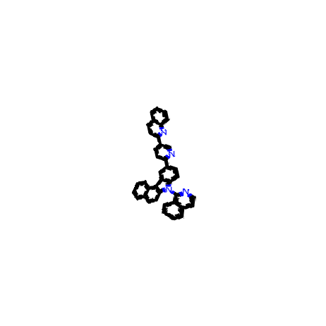 c1ccc2nc(-c3ccc(-c4ccc5c(c4)c4c6ccccc6ccc4n5-c4nccc5ccccc45)nc3)ccc2c1